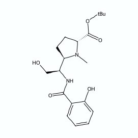 CN1[C@@H](C(=O)OC(C)(C)C)CC[C@@H]1[C@H](CO)NC(=O)c1ccccc1O